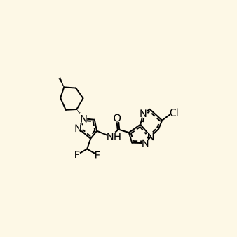 C[C@H]1CC[C@H](n2cc(NC(=O)c3cnn4cc(Cl)cnc34)c(C(F)F)n2)CC1